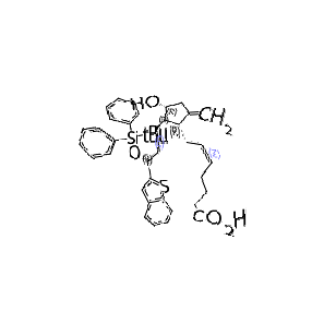 C=C1C[C@@H](O)[C@H](/C=C/[C@@H](O[Si](c2ccccc2)(c2ccccc2)C(C)(C)C)c2cc3ccccc3s2)[C@H]1C/C=C\CCCC(=O)O